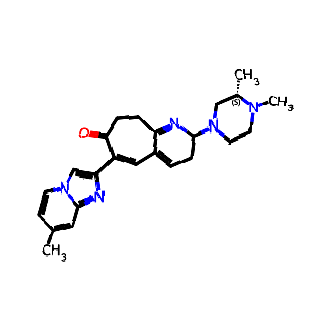 Cc1ccn2cc(C3=CC4=CCC(N5CCN(C)[C@@H](C)C5)N=C4CCC3=O)nc2c1